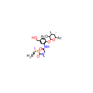 B/B=S(\I)OC(=O)N(C)CC(=O)Nc1cc(CO)ccc1O[C@@H]1OC(C(C)=O)[C@@H](C)[C@H](C)C1OC(C)=O